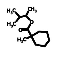 CC(C)C(C)OC(=O)C1(C)CCCCC1